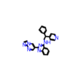 c1ccc(C(CNc2nc(-c3cnc4nccn4c3)nc3ccccc23)c2ccncc2)cc1